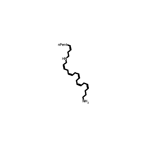 CCCCC/C=C\CCNC/C=C\C/C=C\C/C=C\C/C=C\C/C=C\CCCN